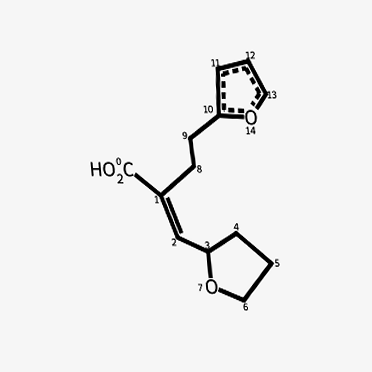 O=C(O)C(=CC1CCCO1)CCc1ccco1